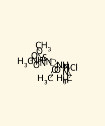 CCCOC1CN(c2nc(C(=O)NC)c(C(=O)OCC)s2)CCC1NC(=O)c1nc(Cl)c(CC)[nH]1